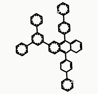 C1=CCC2C(=C1)C(c1ccc(-c3ccccn3)cc1)=c1cc(-c3cc(-c4ccccc4)cc(-c4ccccc4)c3)ccc1=C2C1=CCC(c2ccccn2)C=C1